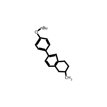 CCCCOc1ccc(-c2ccc3c(c2)CCC(C)C3)cc1